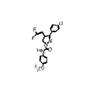 O=C(Nc1ccc(OC(F)(F)F)cc1)N1CC(C=C(F)F)C(c2ccc(Cl)cc2)=N1